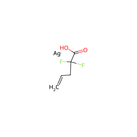 C=CCC(F)(F)C(=O)O.[Ag]